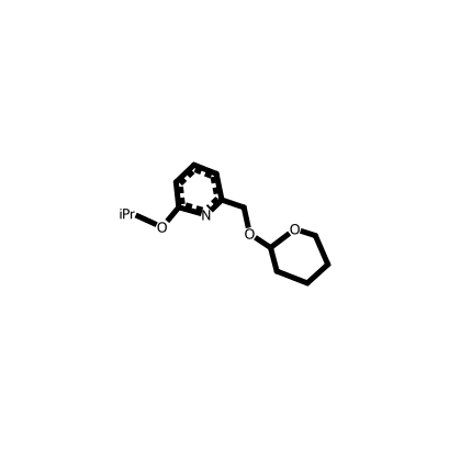 CC(C)Oc1cccc(COC2CCCCO2)n1